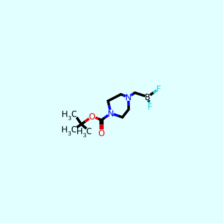 CC(C)(C)OC(=O)N1CCN(CB(F)F)CC1